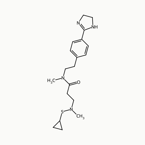 CN(CCC(=O)N(C)CCc1ccc(C2=NCCN2)cc1)SC1CC1